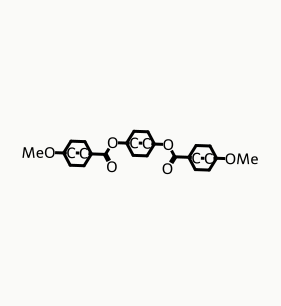 COC12CCC(C(=O)OC34CCC(OC(=O)C56CCC(OC)(CC5)CC6)(CC3)CC4)(CC1)CC2